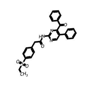 CCS(=O)(=O)c1ccc(CC(=O)Nc2ncc(-c3ccccc3)c(C(=O)c3ccccc3)n2)cc1